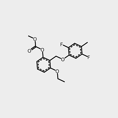 CCOc1cccc(OC(=O)OC)c1COc1cc(F)c(C)cc1F